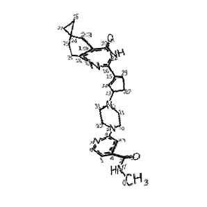 CNC(=O)c1ccnc(N2CCN(C3C=C(c4nc5c(c(=O)[nH]4)CC4(CC5)CC4)CC3)CC2)c1